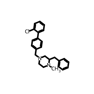 CN1CCN(Cc2ccc(-c3ccccc3Cl)cc2)CC1Cc1ccccc1